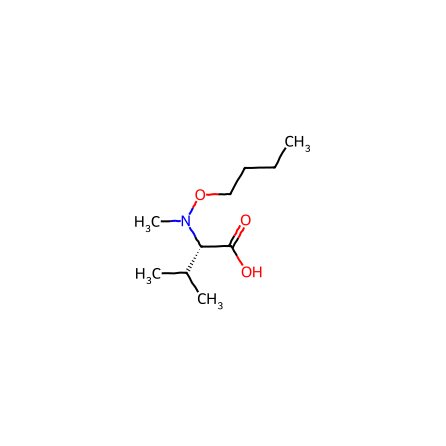 CCCCON(C)[C@H](C(=O)O)C(C)C